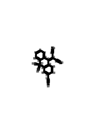 N#CC(C#N)=C1c2ccccc2S(=O)(=O)c2cc(C#N)ccc21